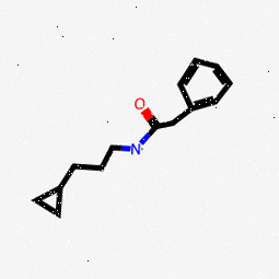 O=C(Cc1ccccc1)[N]CCCC1CC1